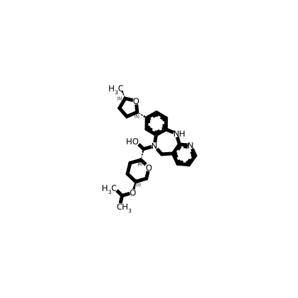 CC(C)O[C@H]1CC[C@H](C(O)N2Cc3cccnc3Nc3ccc([C@@H]4CC[C@H](C)O4)cc32)OC1